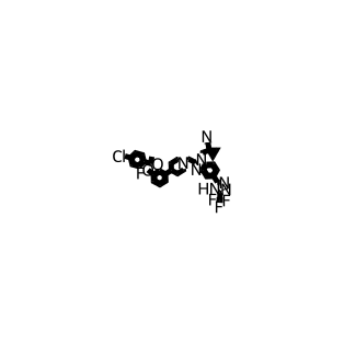 CC1(c2ccc(Cl)cc2F)Oc2cccc(C3CCN(Cc4nc5cc(-c6nnc(C(F)(F)F)[nH]6)ccc5n4CC4(C#N)CC4)CC3)c2O1